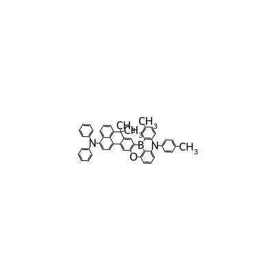 Cc1ccc(N2c3ccc(C)cc3B3c4cc5c(cc4Oc4cccc2c43)-c2ccc(N(c3ccccc3)c3ccccc3)c3cccc(c23)C5(C)C)cc1